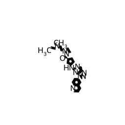 CCCN(C)CCN1CCN1C(=O)[C@H]1CC[C@@H](Nc2ncc3nnn(-c4ccc5ncccc5c4)c3n2)C1